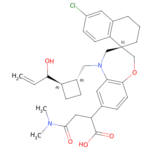 C=CC(O)[C@@H]1CC[C@H]1CN1C[C@@]2(CCCc3cc(Cl)ccc32)COc2ccc(C(CC(=O)N(C)C)C(=O)O)cc21